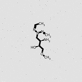 C=NN(C[C@@H](N)[C@H](O)COC)/N=C\C